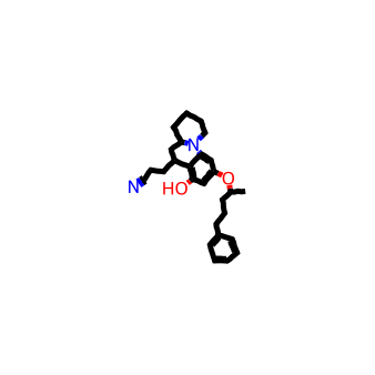 CC(CCCc1ccccc1)Oc1cc(O)c2c(c1)N1CCCCC1CC2CCC#N